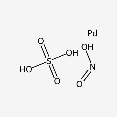 O=NO.O=S(=O)(O)O.[Pd]